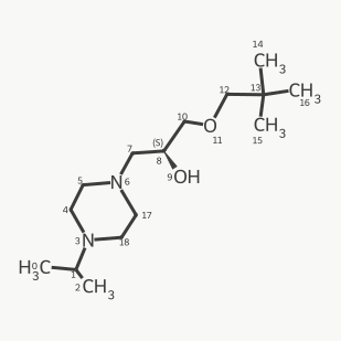 CC(C)N1CCN(C[C@H](O)COCC(C)(C)C)CC1